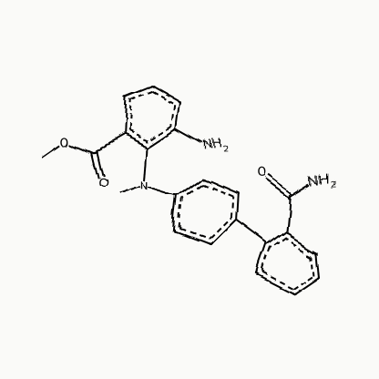 COC(=O)c1cccc(N)c1N(C)c1ccc(-c2ccccc2C(N)=O)cc1